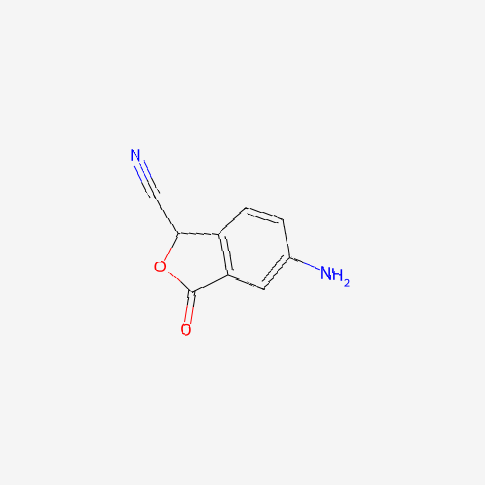 N#CC1OC(=O)c2cc(N)ccc21